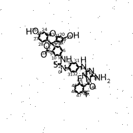 CN(C(=S)Nc1ccc2c(c1)C(=O)OC21c2ccc(O)cc2Oc2cc(O)ccc21)c1ccc(Nc2nc(N)n(C(=O)c3c(F)cccc3F)n2)cc1